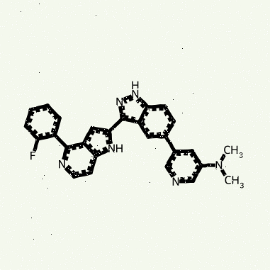 CN(C)c1cncc(-c2ccc3[nH]nc(-c4cc5c(-c6ccccc6F)nccc5[nH]4)c3c2)c1